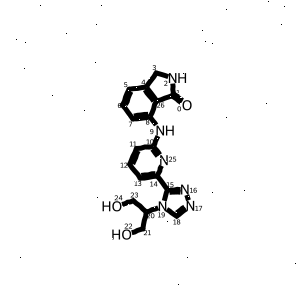 O=C1NCc2cccc(Nc3cccc(-c4nncn4C(CO)CO)n3)c21